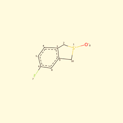 [O-][S+]1Cc2ccc(F)cc2C1